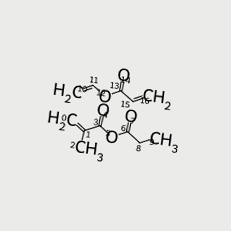 C=C(C)C(=O)OC(=O)CC.C=COC(=O)C=C